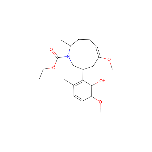 CCOC(=O)N1CC(c2c(C)ccc(OC)c2O)C/C(OC)=C\CCC1C